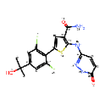 CC(C)(O)c1cc(F)c(-c2cc(C(N)=O)c(NC3=N[N]C(=O)C=C3)s2)c(F)c1